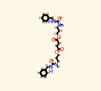 CN(CCCOC(=O)/C=C/C(=O)OCCCN(C)C(=O)NCc1ccccc1)C(=O)NCc1ccccc1